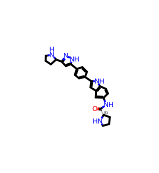 O=C(Nc1ccc2[nH]c(-c3ccc(-c4cc(C5CCCN5)n[nH]4)cc3)cc2c1)[C@@H]1CCCN1